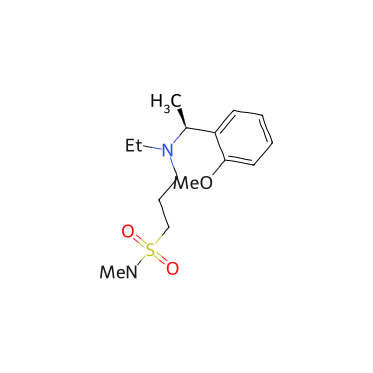 CCN(CCCS(=O)(=O)NC)[C@@H](C)c1ccccc1OC